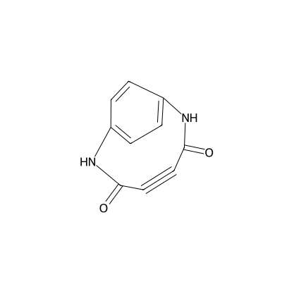 O=c1c#cc(=O)[nH]c2ccc(cc2)[nH]1